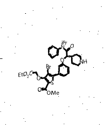 CCOC(=O)COc1c(C(=O)OC)sc(-c2cccc(OC(C(=O)N(c3ccccc3)C(C)C)C3CCNCC3)c2)c1Br